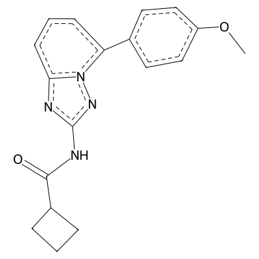 COc1ccc(-c2cccc3nc(NC(=O)C4CCC4)nn23)cc1